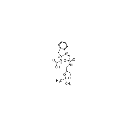 CC1(C)OCC(CNS(=O)(=O)C[C@@H]2c3ccccc3C[C@H]2NC(=O)O)O1